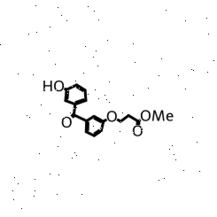 COC(=O)CCOc1cccc(C(=O)c2cccc(O)c2)c1